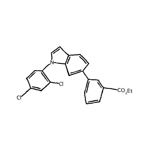 CCOC(=O)c1cccc(-c2ccc3ccn(-c4ccc(Cl)cc4Cl)c3c2)c1